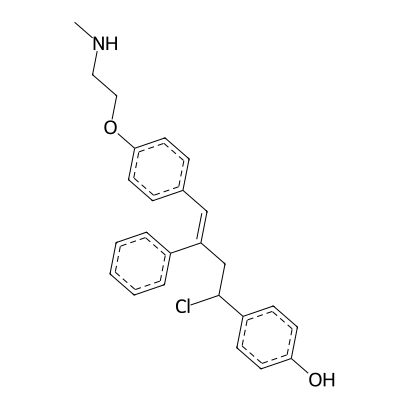 CNCCOc1ccc(C=C(CC(Cl)c2ccc(O)cc2)c2ccccc2)cc1